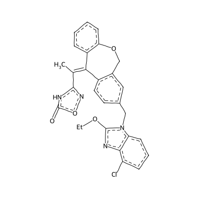 CCOc1nc2c(Cl)cccc2n1Cc1ccc2c(c1)COc1ccccc1/C2=C(\C)c1noc(=O)[nH]1